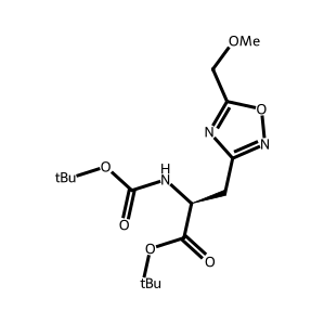 COCc1nc(C[C@H](NC(=O)OC(C)(C)C)C(=O)OC(C)(C)C)no1